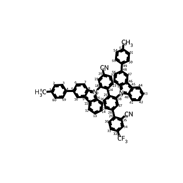 Cc1ccc(-c2ccc3c(c2)c2ccccc2n3-c2cc(C#N)ccc2-c2ccc(-c3ccc(C(F)(F)F)cc3C#N)cc2-n2c3ccccc3c3cc(-c4ccc(C)cc4)ccc32)cc1